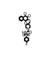 O=C1C(=O)c2ccccc2C2=C1SCC1(CCN(C(=O)NS(=O)(=O)c3ccc(F)cc3)CC1)O2